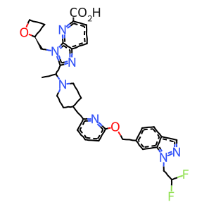 CC(c1nc2ccc(C(=O)O)nc2n1C[C@@H]1CCO1)N1CCC(c2cccc(OCc3ccc4cnn(CC(F)F)c4c3)n2)CC1